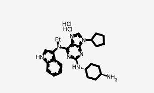 CCN(c1c[nH]c2ccccc12)c1nc(N[C@H]2CC[C@H](N)CC2)nc2c1ncn2C1CCCC1.Cl.Cl